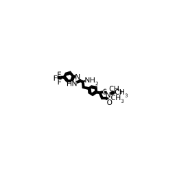 CC(C)(C)N1SC(c2ccc(C[C@H](N)c3nc4ccc(C(F)(F)F)cc4[nH]3)cc2)CC1=O